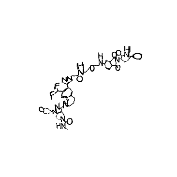 CNC(=O)N1CCc2c(c(N3CCCc4cc(-c5cnn(CC(=O)NCCOCCNc6ccc7c(c6)C(=O)N(C6CCC(=O)NC6=O)C7=O)c5)c(C(F)F)cc43)nn2C2CCOCC2)C1